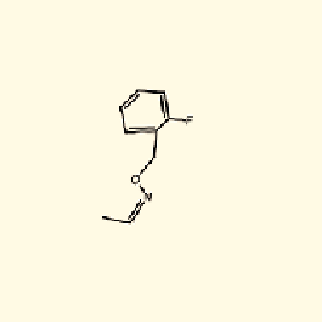 C/[C]=N\OCc1ccccc1F